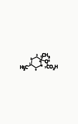 CC1CCC(C)(OC(=O)O)CC1